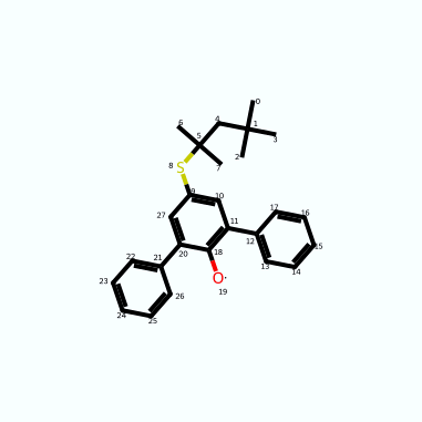 CC(C)(C)CC(C)(C)Sc1cc(-c2ccccc2)c([O])c(-c2ccccc2)c1